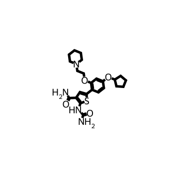 NC(=O)Nc1sc(-c2ccc(OC3CCCC3)cc2OCCN2CCCCC2)cc1C(N)=O